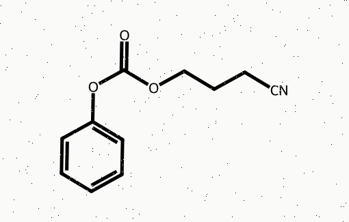 N#CCCCOC(=O)Oc1ccccc1